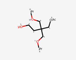 CC(=O)OCC(CCO)(COC(C)C)COC(C)C